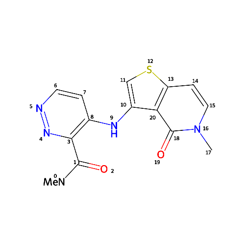 CNC(=O)c1nnccc1Nc1csc2ccn(C)c(=O)c12